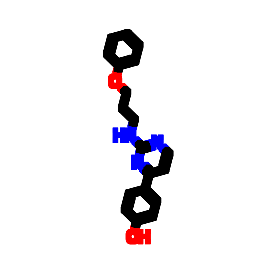 Oc1ccc(-c2ccnc(NCCCOc3ccccc3)n2)cc1